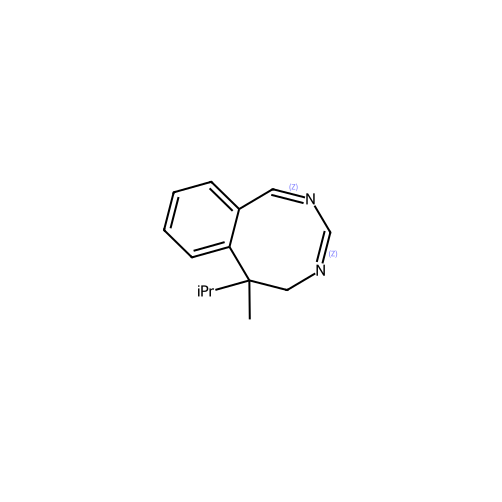 CC(C)C1(C)C/N=C\N=C/c2ccccc21